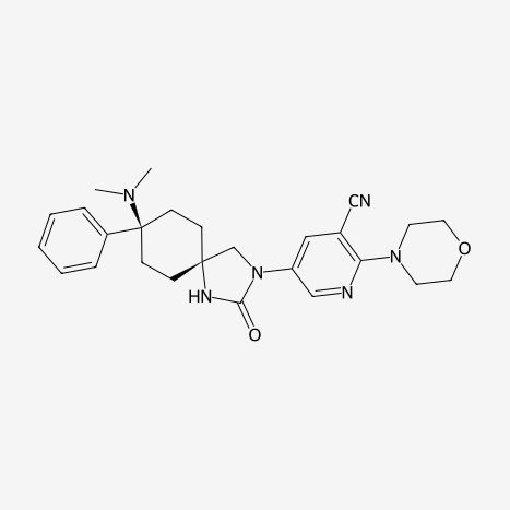 CN(C)[C@]1(c2ccccc2)CC[C@@]2(CC1)CN(c1cnc(N3CCOCC3)c(C#N)c1)C(=O)N2